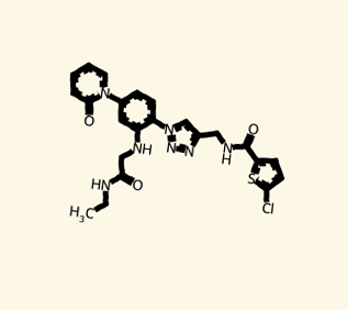 CCNC(=O)CNc1cc(-n2ccccc2=O)ccc1-n1cc(CNC(=O)c2ccc(Cl)s2)nn1